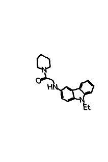 CCn1c2ccccc2c2cc(NCC(=O)N3CCCCC3)ccc21